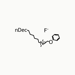 CCCCCCCCCCCCCCCC[N+](C)(C)CCOc1ccccc1.[F-]